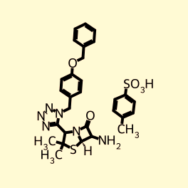 CC1(C)S[C@@H]2C(N)C(=O)N2C1c1nnnn1Cc1ccc(OCc2ccccc2)cc1.Cc1ccc(S(=O)(=O)O)cc1